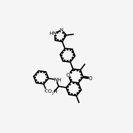 Cc1cc(C(C)Nc2ccccc2C(=O)O)c2oc(-c3ccc(-c4c[nH]nc4C)cc3)c(C)c(=O)c2c1